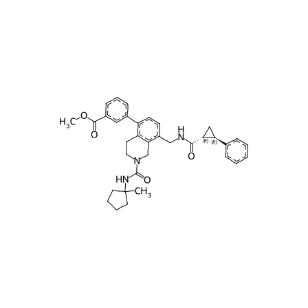 COC(=O)c1cccc(-c2ccc(CNC(=O)[C@@H]3C[C@H]3c3ccccc3)c3c2CCN(C(=O)NC2(C)CCCC2)C3)c1